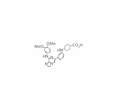 COc1ccc(Nc2nc(-c3cccc(NC4CCC(C(=O)O)CC4)c3)cn3ccnc23)cc1OC